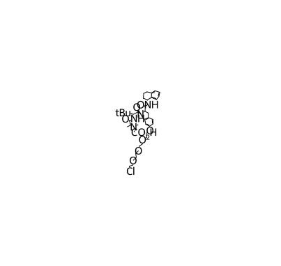 CC(C(=O)NC(C(=O)N1Cc2cc(OCCOCCOCCOCCCl)ccc2CC1C(=O)N[C@@H]1CCCc2ccccc21)C(C)(C)C)N(C)C(=O)O